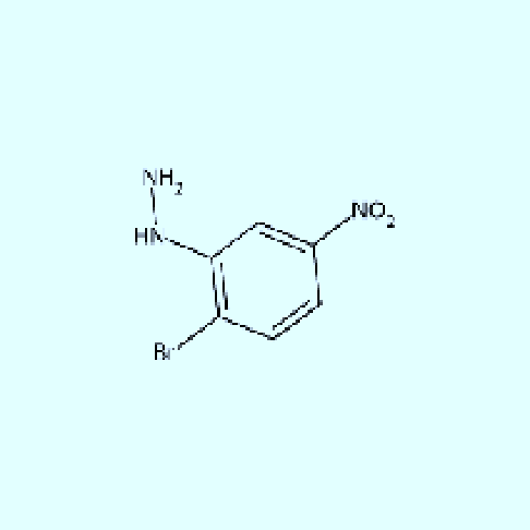 NNc1cc([N+](=O)[O-])ccc1Br